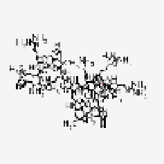 CSCC[C@H](NC(=O)[C@H](C)NC(=O)[C@H](CO)NC(=O)[C@H](CCCN=C(N)N)NC(=O)[C@H](CCSC)NC(=O)[C@@H](N)Cc1cnc[nH]1)C(=O)N[C@@H](CO)C(=O)NCC(=O)N[C@@H](CC(C)C)C(=O)N[C@@H](Cc1cnc[nH]1)C(=O)N[C@@H](CC(C)C)C(=O)N[C@H](C(=O)N[C@@H](CCCCN)C(=O)N[C@@H](CCCN=C(N)N)C(=O)N[C@@H](CCCN=C(N)N)C(=O)O)C(C)C